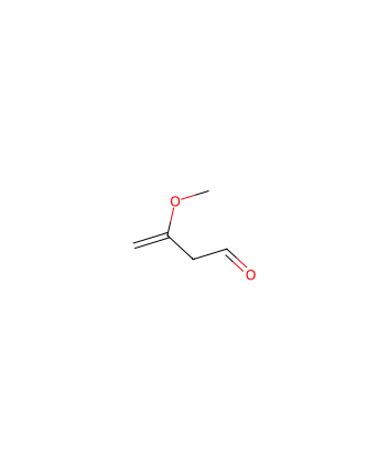 C=C(CC=O)OC